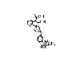 C[CH]C(C(=O)O)c1cccnc1N1CCN(Cc2cccc(S(=O)(=O)N(C)C)c2)CC1